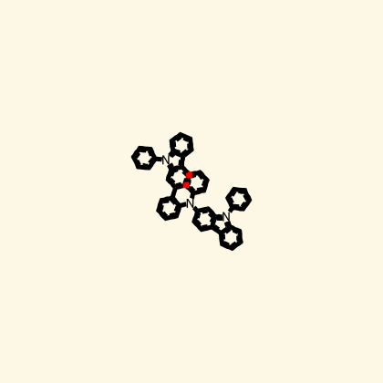 c1ccc(N(c2ccc3c4ccccc4n(-c4ccccc4)c3c2)c2ccccc2-c2ccc3c4ccccc4n(-c4ccccc4)c3c2)cc1